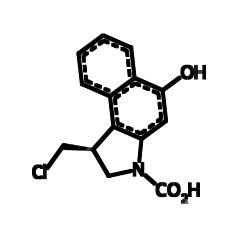 O=C(O)N1C[C@@H](CCl)c2c1cc(O)c1ccccc21